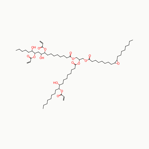 C=CC(=O)OC(CCCCCCCC)C(O)CCCCCCCC(=O)OC(COC(=O)CCCCCCCC(OC(=O)C=C)C(O)CC(OC(=O)C=C)C(O)CCCCC)COC(=O)CCCCCCCC1OC1CCCCCCCC